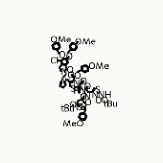 COc1ccc(COC(=O)C2=C(C[N+]3(CCN4CCc5c(cc(OCc6ccc(OC)cc6)c(OCc6ccc(OC)cc6)c5Cl)C4=O)CCCC3)CS[C@@H]3[C@H](NC(=O)C(=NOC(CC(=O)OC(C)(C)C)C(=O)OCc4ccc(OC)cc4)c4csc(NC(=O)OC(C)(C)C)n4)C(=O)N23)cc1